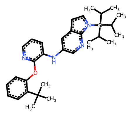 CC(C)[Si](C(C)C)(C(C)C)n1ccc2cc(Nc3cccnc3Oc3ccccc3C(C)(C)C)cnc21